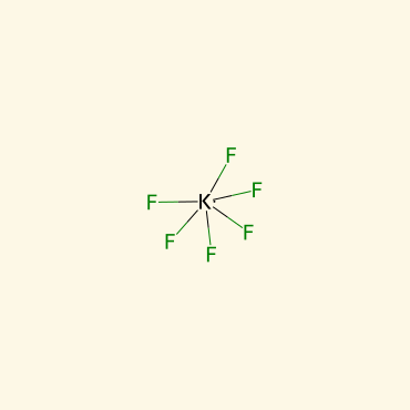 [F][K]([F])([F])([F])([F])[F]